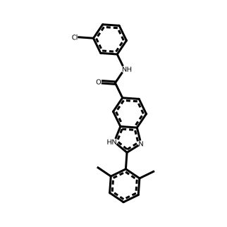 Cc1cccc(C)c1-c1nc2ccc(C(=O)Nc3cccc(Cl)c3)cc2[nH]1